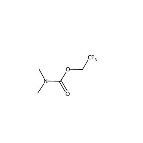 CN(C)C(=O)OCC(F)(F)F